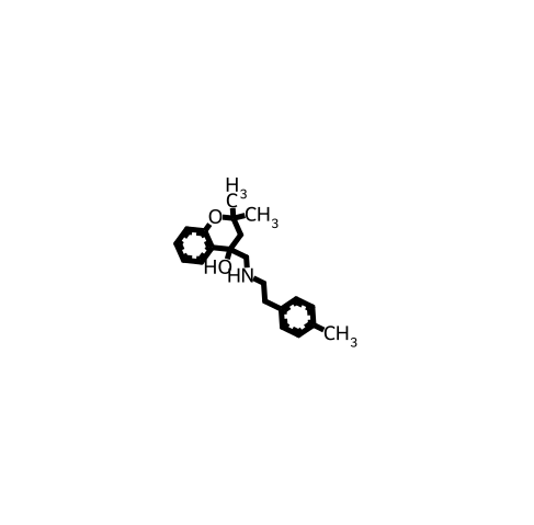 Cc1ccc(CCNCC2(O)CC(C)(C)Oc3ccccc32)cc1